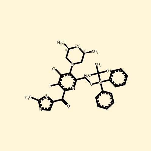 Cc1ncc(C(=O)c2nc(CO[Si](c3ccccc3)(c3ccccc3)C(C)(C)C)c(N3C[C@@H](C)O[C@@H](C)C3)c(Cl)c2F)s1